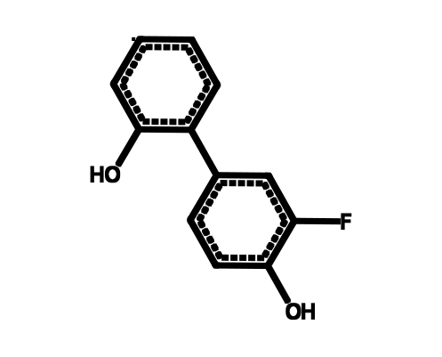 Oc1ccc(-c2cc[c]cc2O)cc1F